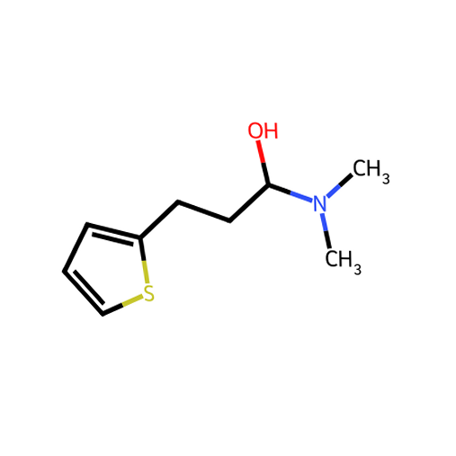 CN(C)C(O)CCc1cccs1